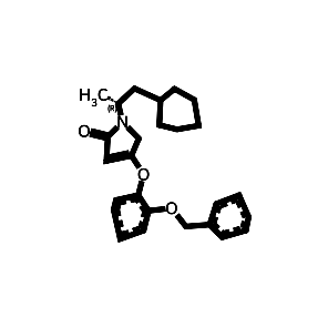 C[C@H](CC1CCCCC1)N1CC(Oc2ccccc2OCc2ccccc2)=CC1=O